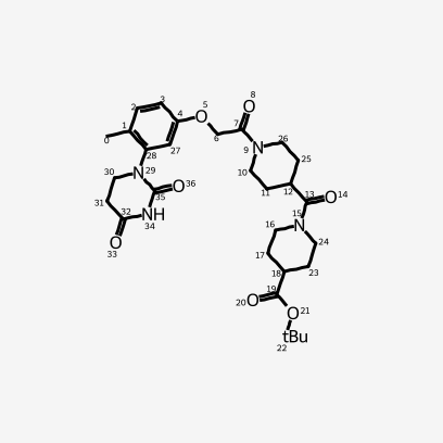 Cc1ccc(OCC(=O)N2CCC(C(=O)N3CCC(C(=O)OC(C)(C)C)CC3)CC2)cc1N1CCC(=O)NC1=O